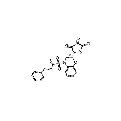 O=C1NC(=O)C([C@H]2CN(S(=O)(=O)C(=O)OCc3ccccc3)c3ccccc3O2)S1